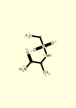 CC(NS(=O)(=O)CC(F)(F)F)C(N)=O